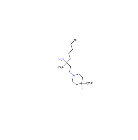 BCCCCC(N)(CCN1CCC(C)(C(=O)O)CC1)C(=O)O